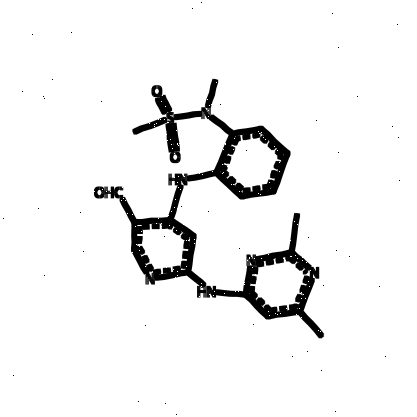 Cc1cc(Nc2cc(Nc3ccccc3N(C)S(C)(=O)=O)c(C=O)cn2)nc(C)n1